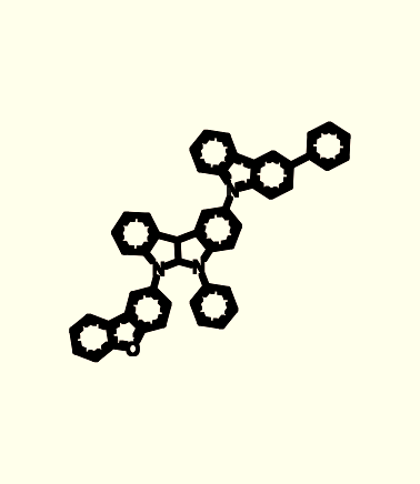 c1ccc(-c2ccc3c(c2)c2ccccc2n3-c2ccc3c(c2)C2c4ccccc4N(c4ccc5oc6ccccc6c5c4)C2N3c2ccccc2)cc1